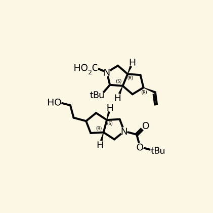 C=C[C@@H]1C[C@H]2CN(C(=O)O)C(C(C)(C)C)[C@H]2C1.CC(C)(C)OC(=O)N1C[C@H]2CC(CCO)C[C@H]2C1